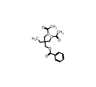 CCC(COC(C)=O)(COC(C)=O)COC(=O)c1ccccc1